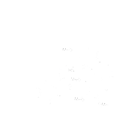 COc1ccc(/C=C\c2cc(OC)c(OC)c(OC)c2)cc1N/C=C\C(=O)c1ccccc1